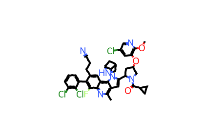 COc1ncc(Cl)cc1OC1CC(c2cc3c(C)nc4c(F)c(-c5cccc(Cl)c5Cl)c(CCC#N)cc4c3n2C2C3CNC2C3)N(C(=O)C2CC2)C1